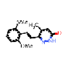 COc1cccc(SC)c1C=Cc1n[nH]c(=O)cc1C